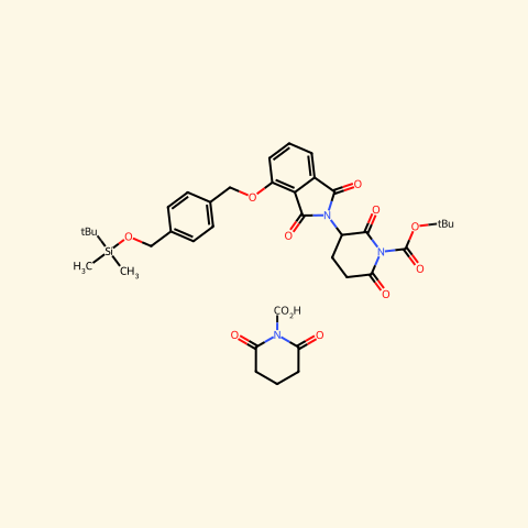 CC(C)(C)OC(=O)N1C(=O)CCC(N2C(=O)c3cccc(OCc4ccc(CO[Si](C)(C)C(C)(C)C)cc4)c3C2=O)C1=O.O=C(O)N1C(=O)CCCC1=O